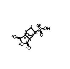 O=C1OC(=O)C2C3OC(CC3S(=O)(=O)O)C12